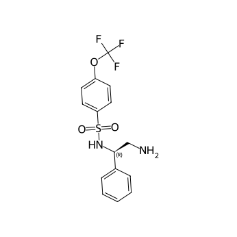 NC[C@H](NS(=O)(=O)c1ccc(OC(F)(F)F)cc1)c1ccccc1